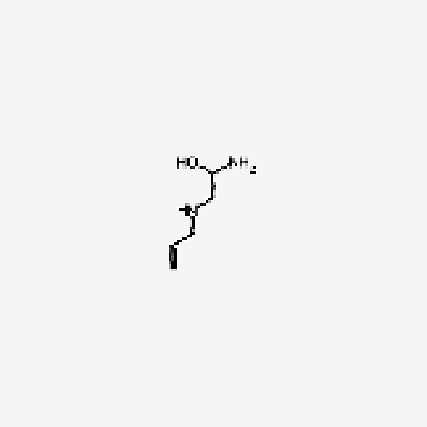 C=CCNCC(N)O